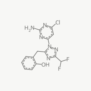 Nc1nc(Cl)cc(-n2nc(C(F)F)nc2Cc2ccccc2O)n1